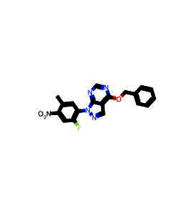 Cc1cc(-n2ncc3c(OCc4ccccc4)ncnc32)c(F)cc1[N+](=O)[O-]